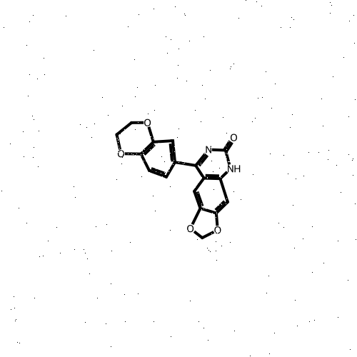 O=c1nc(-c2ccc3c(c2)OCCO3)c2cc3c(cc2[nH]1)OCO3